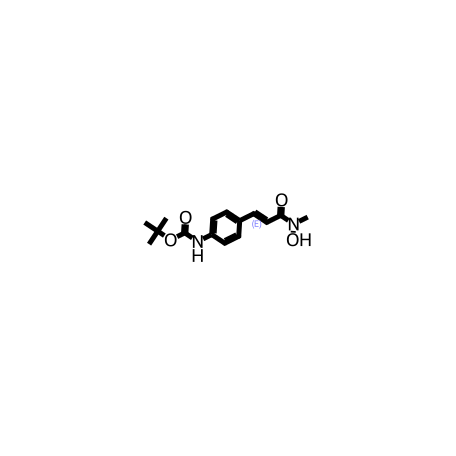 CN(O)C(=O)/C=C/c1ccc(NC(=O)OC(C)(C)C)cc1